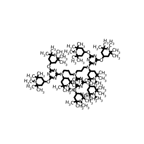 CN1C(C)(C)CC(Oc2nc(OC3CC(C)(C)N(C)C(C)(C)C3)nc(N(CCCN(c3nc(OC4CC(C)(C)N(C)C(C)(C)C4)nc(OC4CC(C)(C)N(C)C(C)(C)C4)n3)C3CC(C)(C)N(C)C(C)(C)C3)CCCN(c3nc(OC4CC(C)(C)N(C)C(C)(C)C4)nc(OC4CC(C)(C)N(C)C(C)(C)C4)n3)C3CC(C)(C)N(C)C(C)(C)C3)n2)CC1(C)C